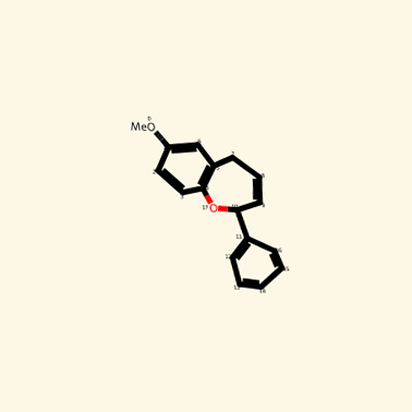 COc1ccc2c(c1)CC=CC(c1ccccc1)O2